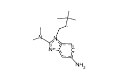 CN(C)c1nc2cc(N)ccc2n1C[CH]C(C)(C)C